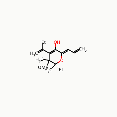 C=C/C=C1\O[C@](C)(CC)C(C)(OC)C(C(=C)CC)=C1O